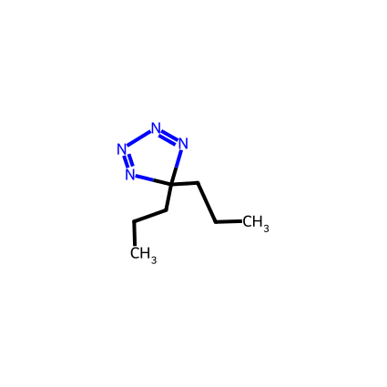 CCCC1(CCC)N=NN=N1